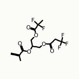 C=C(C)C(=O)OC(COC(=O)CC(F)(F)F)COC(=O)C(C)(F)F